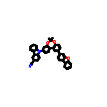 CC1(C)Oc2cc(-n3c4ccccc4c4cc(C#N)ccc43)ccc2-c2cc(-c3ccc4c(c3)oc3ccccc34)ccc2O1